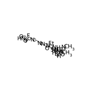 CCc1cc(Nc2ncc(Br)c(Nc3ccc4nc(C)ccc4c3P(C)(C)=O)n2)c(SC)cc1N1CCC(N2CCN(CCC3CCN(c4cc(F)c(C5CCC(=O)NC5=O)c(F)c4)CC3)CC2)CC1=O